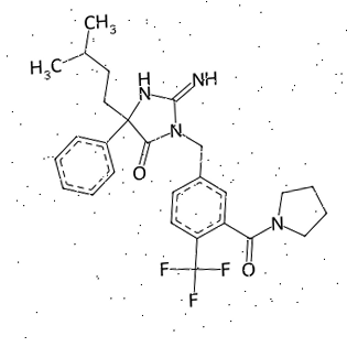 CC(C)CCC1(c2ccccc2)NC(=N)N(Cc2ccc(C(F)(F)F)c(C(=O)N3CCCC3)c2)C1=O